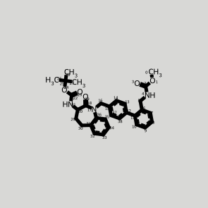 COC(=O)NCc1ccccc1-c1ccc(CN2C(=O)C(NC(=O)OC(C)(C)C)CCc3ccccc32)cc1